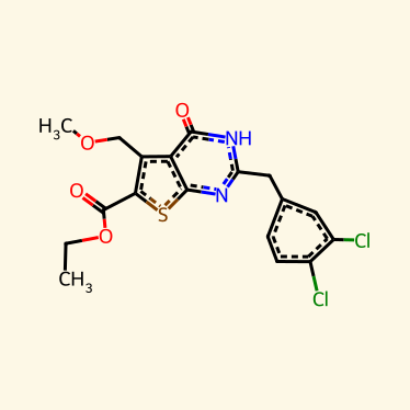 CCOC(=O)c1sc2nc(Cc3ccc(Cl)c(Cl)c3)[nH]c(=O)c2c1COC